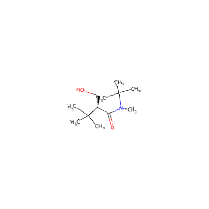 CN(C(=O)[C@H](CO)C(C)(C)C)C(C)(C)C